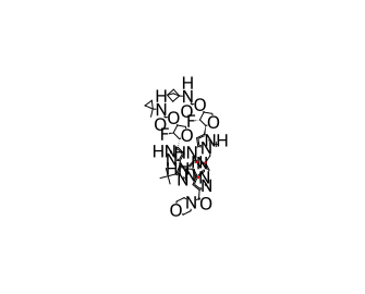 CC1(NC(=O)O[C@@H]2CO[C@H](c3cc(Nc4nc(C[n+]5[nH]c([C@@H]6OC[C@H](OC(=O)NC78CC(C7)C8)[C@H]6F)cc5Nc5nccn6nc(C(C)(C)C)cc56)cn5nc(C(=O)N6CCOCC6)cc45)n[nH]3)[C@H]2F)CC1